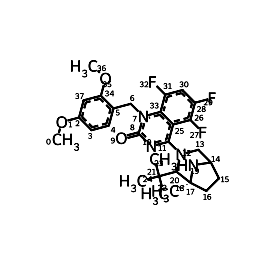 COc1ccc(Cn2c(=O)nc(N3CC4CC[C@](C)(N4)C3C(C)(C)C)c3c(F)c(F)cc(F)c32)c(OC)c1